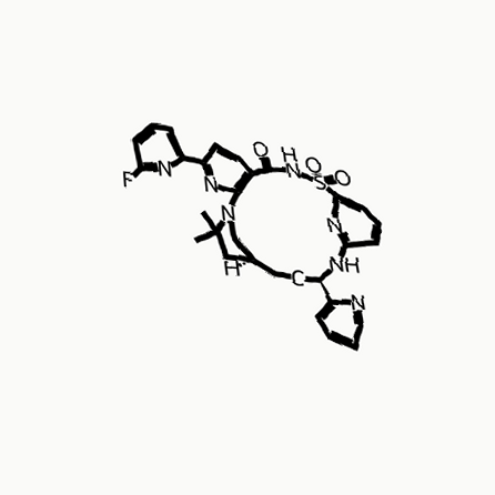 CC1(C)C[C@@H]2CC[C@H](c3ccccn3)Nc3cccc(n3)S(=O)(=O)NC(=O)c3ccc(-c4cccc(F)n4)nc3N1C2